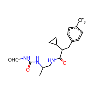 CC(CNC(=O)C(Cc1ccc(C(F)(F)F)cc1)C1CC1)NC(=O)NC=O